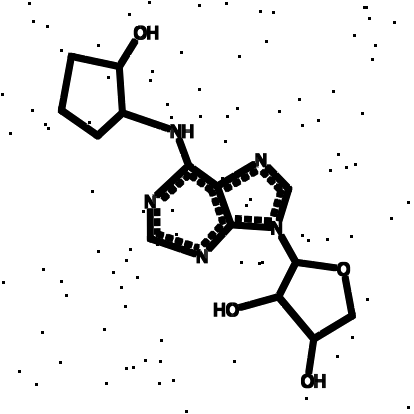 OC1CCCC1Nc1ncnc2c1ncn2C1OCC(O)C1O